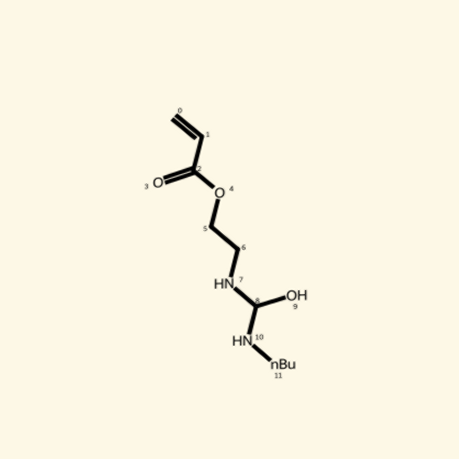 C=CC(=O)OCCNC(O)NCCCC